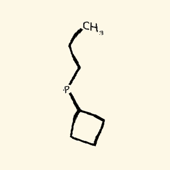 CCC[P]C1CCC1